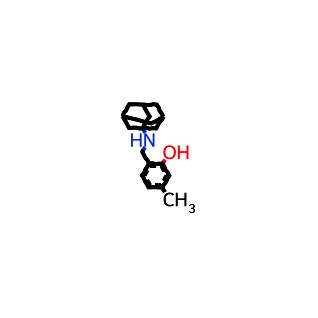 Cc1ccc(CNC23CC4CC(CC(C4)C2)C3)c(O)c1